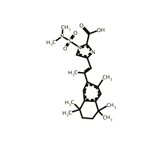 CC(=Cc1cn(S(=O)(=O)N(C)C)c(C(=O)O)n1)c1cc2c(cc1C)C(C)(C)CCC2(C)C